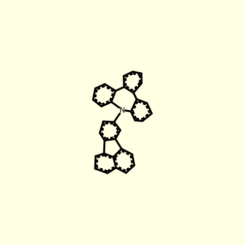 c1ccc2c(c1)-c1ccccc1N(c1ccc3c(c1)-c1cccc4cccc-3c14)c1ccccc1-2